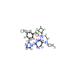 CN1CC[N+]([O-])(C2CCC2)c2nc(-n3ccnc3-c3cc(Cl)cc(Cl)c3)ncc21